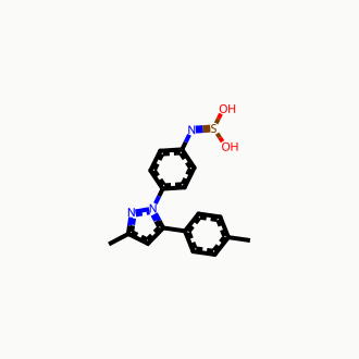 Cc1ccc(-c2cc(C)nn2-c2ccc(N=S(O)O)cc2)cc1